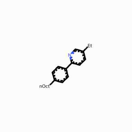 CCCCCCCCc1ccc(-c2ccc(CC)cn2)cc1